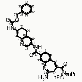 CCCN(CCC)C(=O)C1=Cc2ccc(C(=O)Nc3cnc4c(c3)CCC(NC(=O)OCc3ccccc3)C4)cc2N=C(N)C1